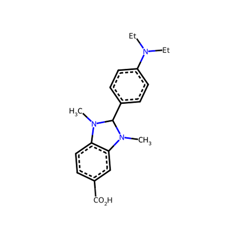 CCN(CC)c1ccc(C2N(C)c3ccc(C(=O)O)cc3N2C)cc1